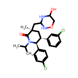 CC(C)N1C(=O)[C@@](C)(CC2NOCC(O)N2)C[C@H](c2cccc(Cl)c2)[C@H]1c1ccc(Cl)cc1